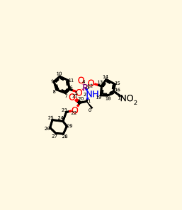 C[C@H](NP(=O)(Oc1ccccc1)Oc1ccc([N+](=O)[O-])cc1)C(=O)OCC1CCCCC1